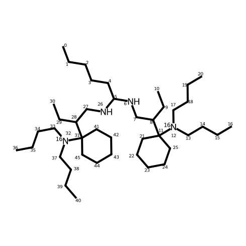 CCCCCC(NCC(CC)C1([16N](CCCC)CCCC)CCCCC1)NCC(CC)C1([16N](CCCC)CCCC)CCCCC1